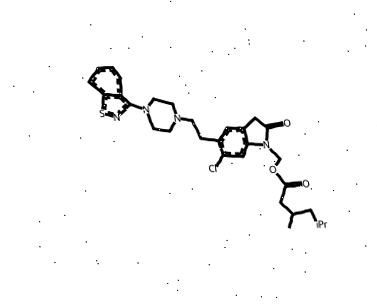 CC(C)CC(C)CC(=O)OCN1C(=O)Cc2cc(CCN3CCN(c4nsc5ccccc45)CC3)c(Cl)cc21